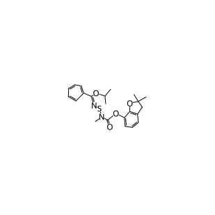 CC(C)OC(=NSN(C)C(=O)Oc1cccc2c1OC(C)(C)C2)c1ccccc1